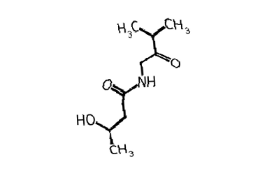 CC(C)C(=O)CNC(=O)C[C@@H](C)O